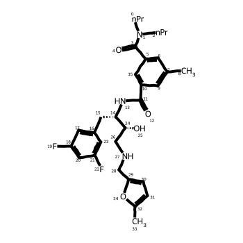 CCCN(CCC)C(=O)c1cc(C)cc(C(=O)N[C@@H](Cc2cc(F)cc(F)c2)[C@H](O)CNCc2ccc(C)o2)c1